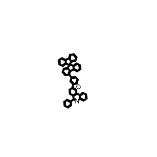 c1ccc(-c2nc3ccccc3c3c2ccc2c4cc(-c5cccc6c5-c5ccccc5C65c6ccccc6-c6ccccc65)ccc4oc23)cc1